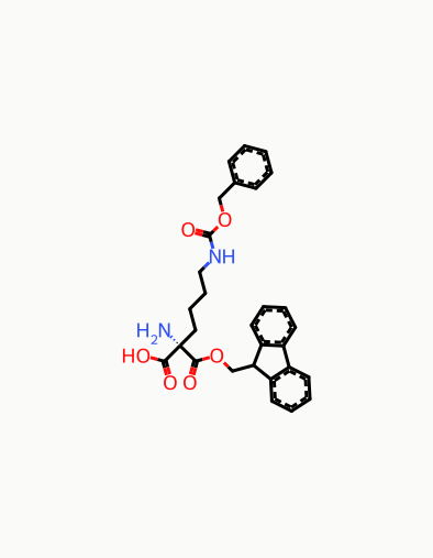 N[C@@](CCCCNC(=O)OCc1ccccc1)(C(=O)O)C(=O)OCC1c2ccccc2-c2ccccc21